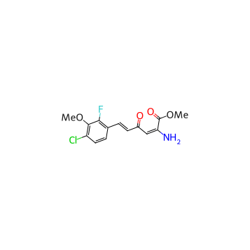 COC(=O)/C(N)=C\C(=O)/C=C/c1ccc(Cl)c(OC)c1F